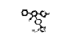 Cn1cnnc1C1CCN(c2c(-c3ccc(F)nc3)ccc(-c3ccccc3)c2C#N)CC1